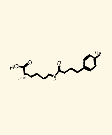 C[C@@H](CCCCNC(=O)CCCc1ccc([123I])cc1)C(=O)O